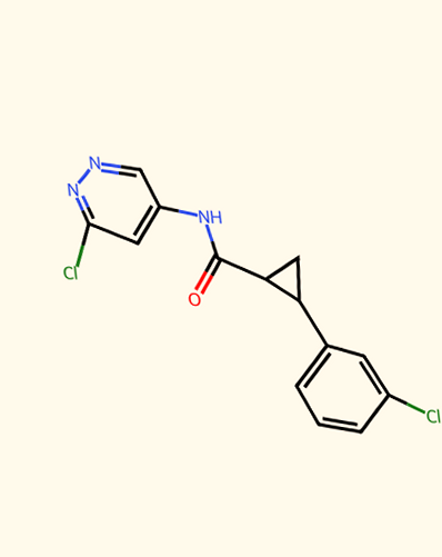 O=C(Nc1cnnc(Cl)c1)C1CC1c1cccc(Cl)c1